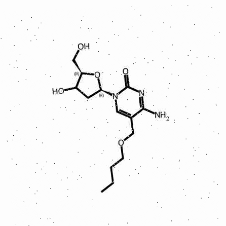 CCCCOCc1cn([C@H]2CC(O)[C@@H](CO)O2)c(=O)nc1N